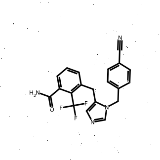 N#Cc1ccc(Cn2cncc2Cc2cccc(C(N)=O)c2C(F)(F)F)cc1